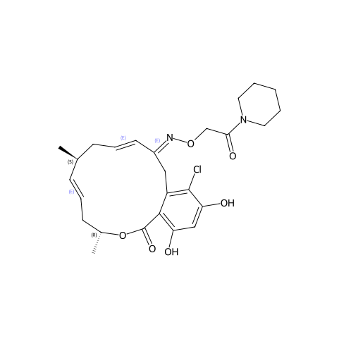 C[C@@H]1/C=C/C[C@@H](C)OC(=O)c2c(O)cc(O)c(Cl)c2CC(=N\OCC(=O)N2CCCCC2)/C=C/C1